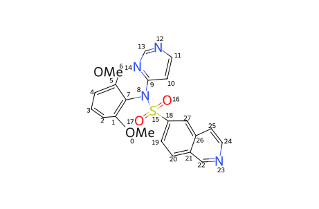 COc1cccc(OC)c1N(c1ccncn1)S(=O)(=O)c1ccc2cnccc2c1